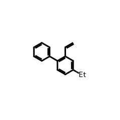 C=Cc1cc(CC)ccc1-c1ccccc1